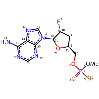 COP(=O)(S)OC[C@@H]1C[C@@H](F)[C@H](n2cnc3c(N)ncnc32)O1